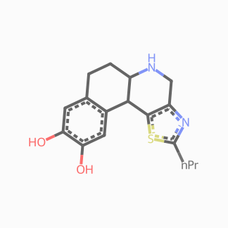 CCCc1nc2c(s1)C1c3cc(O)c(O)cc3CCC1NC2